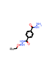 CCC(C)CONNC(=O)c1ccc(C(=O)NN)cc1